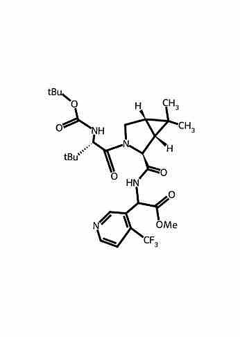 COC(=O)C(NC(=O)[C@@H]1[C@@H]2[C@H](CN1C(=O)[C@@H](NC(=O)OC(C)(C)C)C(C)(C)C)C2(C)C)c1cnccc1C(F)(F)F